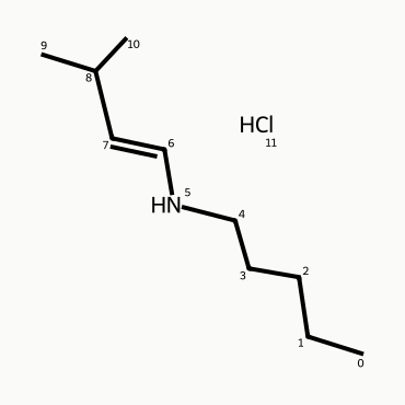 CCCCCNC=CC(C)C.Cl